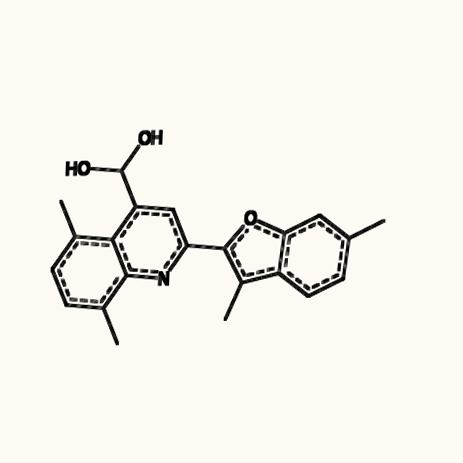 Cc1ccc2c(C)c(-c3cc(C(O)O)c4c(C)ccc(C)c4n3)oc2c1